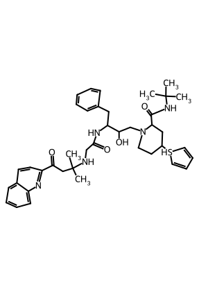 CC(C)(C)NC(=O)C1CC([SH]2C=CC=C2)CCN1CC(O)C(Cc1ccccc1)NC(=O)CNC(C)(C)CC(=O)c1ccc2ccccc2n1